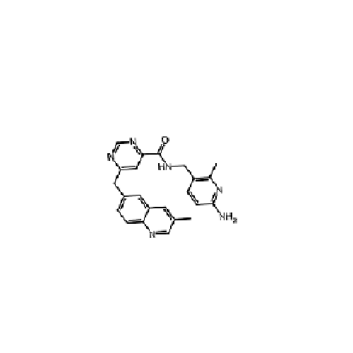 Cc1cnc2ccc(Cc3cc(C(=O)NCc4ccc(N)nc4C)ncn3)cc2c1